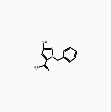 CC(C)(C)c1cc(C(N)=O)n(Cc2ccccc2)n1